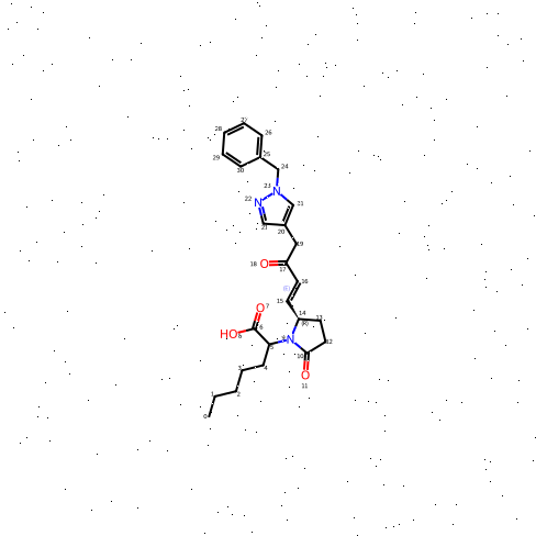 CCCCCC(C(=O)O)N1C(=O)CC[C@@H]1/C=C/C(=O)Cc1cnn(Cc2ccccc2)c1